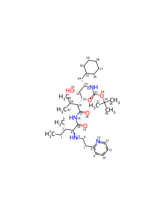 CC[C@H](C)[C@H](NCCc1ccccn1)C(=O)NC(=O)[C@@H](C[C@H](O)[C@H](CC1CCCCC1)NC(=O)OC(C)(C)C)C(C)C